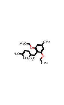 COCOc1cc(OC)cc(OCOC)c1CC(CC=C(C)C)C(=O)O